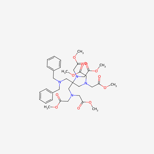 COC(=O)CN(CC(=O)OC)CC(CN(CC(=O)OC)CC(=O)OC)(CN(Cc1ccccc1)Cc1ccccc1)N(CC(=O)OC)CC(=O)OC